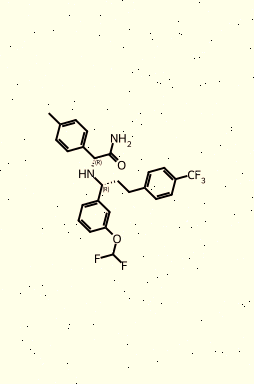 Cc1ccc([C@@H](N[C@H](CCc2ccc(C(F)(F)F)cc2)c2cccc(OC(F)F)c2)C(N)=O)cc1